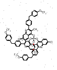 Cc1c(-c2ccc(Cc3ccc(OC(F)(F)F)cc3)cc2)nc2cc(Cl)ccc2c1OP(=O)(Oc1c(C)c(-c2ccc(Cc3ccc(OC(F)(F)F)cc3)cc2)nc2cc(Cl)ccc12)Oc1c(C)c(-c2ccc(Cc3ccc(OC(F)(F)F)cc3)cc2)nc2cc(Cl)ccc12